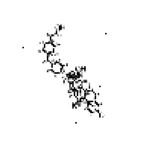 C[C@]12C=CC(=O)C=C1CC[C@@H]1[C@@H]2[C@@H](O)C[C@@]2(C)[C@H]1C[C@H]1O[C@@H](c3ccc(Cc4ccc(CCO)cc4)cc3)O[C@]12C(=O)CO